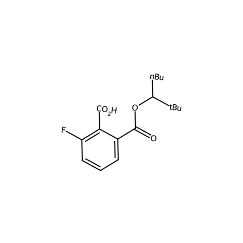 CCCCC(OC(=O)c1cccc(F)c1C(=O)O)C(C)(C)C